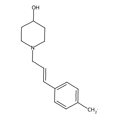 [CH2]c1ccc(C=CCN2CCC(O)CC2)cc1